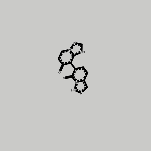 O=c1[c]cn2nc[nH]c2c1-c1ccc2cn[nH]n2c1=O